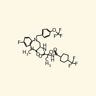 CN1C(=O)[C@H](NC(=O)C(C)(C)NC(=O)C2CCC(C(F)(F)F)CC2)CN(Cc2ccc(OC(F)(F)F)cc2)c2ccc(F)cc21